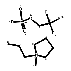 CCC[N+]1(C)CCCC1.O=P([O-])(F)OCC(F)(F)F